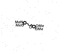 CNc1ccc(/C=C/c2cc3cc(OC)c(OC)cc3o2)cc1OC